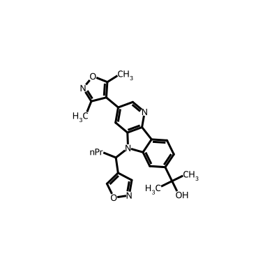 CCCC(c1cnoc1)n1c2cc(C(C)(C)O)ccc2c2ncc(-c3c(C)noc3C)cc21